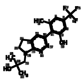 Cc1cc(C(F)(F)F)cc(O)c1-c1cc2c(nn1)N(CC(C)(C)O)CC2